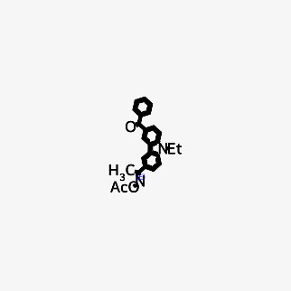 CCn1c2ccc(C(=O)c3ccccc3)cc2c2cc(/C(C)=N/OC(C)=O)ccc21